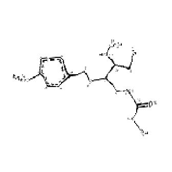 COc1ccc(CSC(CNC(=O)OC(C)(C)C)C(CC(C)C)NC(=O)O)cc1